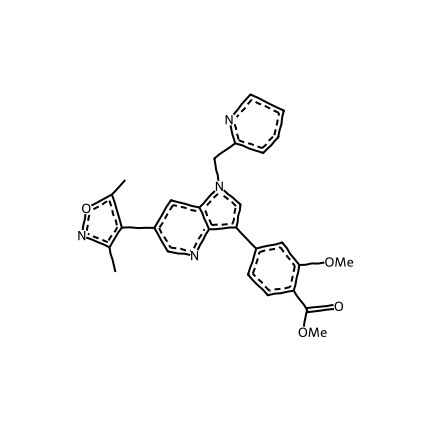 COC(=O)c1ccc(-c2cn(Cc3ccccn3)c3cc(-c4c(C)noc4C)cnc23)cc1OC